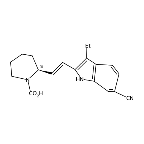 CCc1c(C=C[C@@H]2CCCCN2C(=O)O)[nH]c2cc(C#N)ccc12